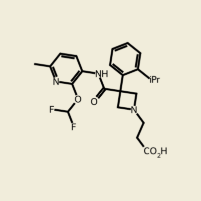 Cc1ccc(NC(=O)C2(c3ccccc3C(C)C)CN(CCC(=O)O)C2)c(OC(F)F)n1